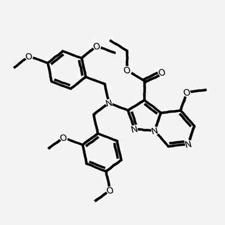 CCOC(=O)c1c(N(Cc2ccc(OC)cc2OC)Cc2ccc(OC)cc2OC)nn2cncc(OC)c12